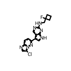 FC1(CNc2ncc3c(-c4ccc5ncc(Cl)n5n4)c[nH]c3n2)CCC1